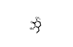 CN1CCC(CI)N(C(C)(C)C)C1=O